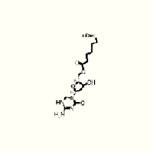 CCCCCCCCCCCCCCCC(=O)OC[C@H]1O[C@@H](N2CNC(N)=NC2=O)CC1O